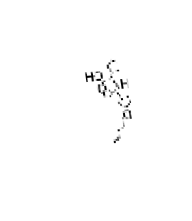 C=CCCCO[C@@H]1CCN(C(=O)N[C@H](C(=O)O)C2CCCC2)C1